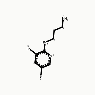 NCCCNc1ncc(Br)cc1Br